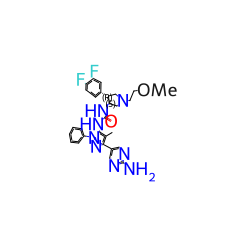 COCCN1C[C@@H](NC(=O)Nc2c(C)c(-c3cnc(N)nc3)nn2-c2ccccc2)[C@H](c2ccc(F)c(F)c2)C1